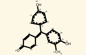 Cc1cc(C(=C2C=CC(=O)C=C2)c2ccc(O)cc2)ccc1O